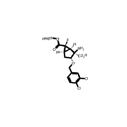 CCCCCCCOC(=O)[C@@]1(F)[C@@H]2C[C@@H](OCc3ccc(Cl)c(Cl)c3)[C@@](N)(C(=O)O)[C@@H]21